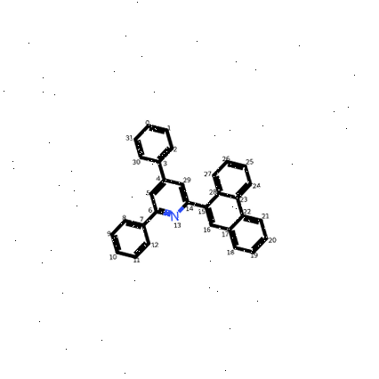 c1ccc(-c2cc(-c3ccccc3)nc(-c3cc4ccccc4c4ccccc34)c2)cc1